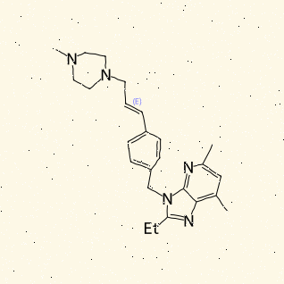 CCc1nc2c(C)cc(C)nc2n1Cc1ccc(/C=C/CN2CCN(C)CC2)cc1